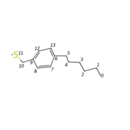 CCCCCCc1ccc(C[S])cc1